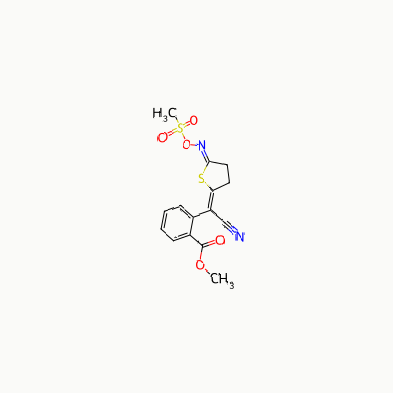 COC(=O)c1ccccc1/C(C#N)=C1/CC/C(=N/OS(C)(=O)=O)S1